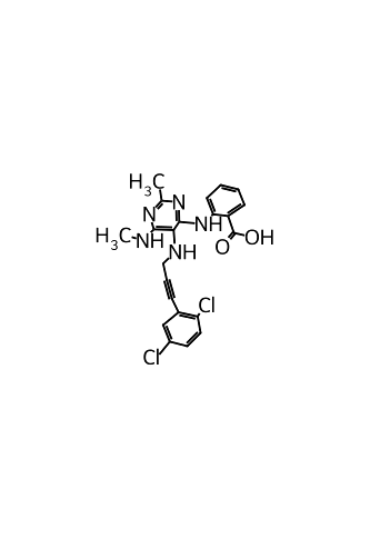 CNc1nc(C)nc(Nc2ccccc2C(=O)O)c1NCC#Cc1cc(Cl)ccc1Cl